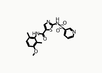 COc1ccc(C)c(NC(=O)c2cnc(NS(=O)(=O)c3cccnc3)s2)c1C